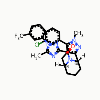 Cc1nc(C(=O)N2[C@@H]3CCC[C@H]2c2nn(C)c(-c4cccc(Cl)c4)c2C3)nn1-c1cccc(C(F)(F)F)c1